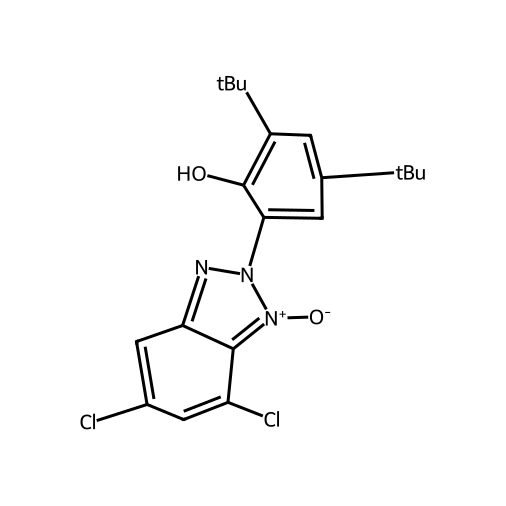 CC(C)(C)c1cc(-n2nc3cc(Cl)cc(Cl)c3[n+]2[O-])c(O)c(C(C)(C)C)c1